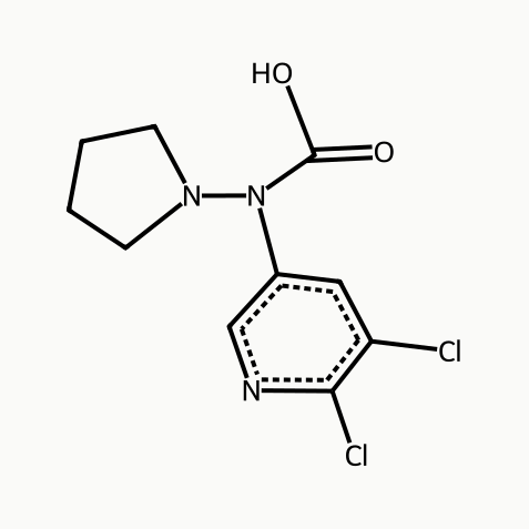 O=C(O)N(c1cnc(Cl)c(Cl)c1)N1CCCC1